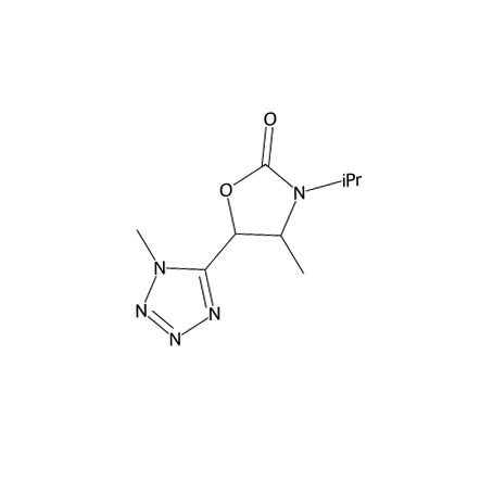 CC(C)N1C(=O)OC(c2nnnn2C)C1C